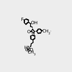 [CH2]c1ccc([C@@H]2[C@@H](CC[C@H](O)c3ccc(F)cc3)C(=O)N2c2ccc(CCCNS(C)(=O)=O)cc2)cc1